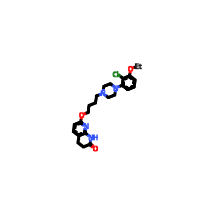 CCOc1cccc(N2CCN(CCCCOc3ccc4c(n3)NC(=O)CC4)CC2)c1Cl